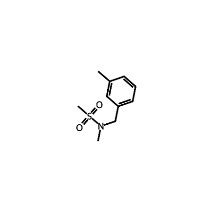 Cc1cccc(CN(C)S(C)(=O)=O)c1